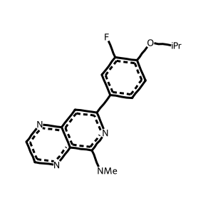 CNc1nc(-c2ccc(OC(C)C)c(F)c2)cc2nccnc12